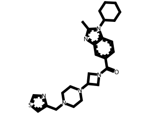 Cc1nc2cc(C(=O)N3CC(N4CCN(Cc5cscn5)CC4)C3)ccc2n1C1CCCCC1